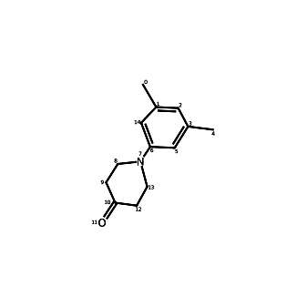 Cc1cc(C)cc(N2CCC(=O)CC2)c1